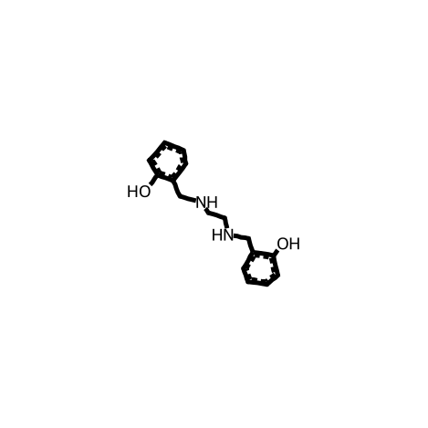 Oc1ccccc1CNCCNCc1ccccc1O